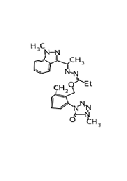 CC/C(=N/N=C(C)c1nn(C)c2ccccc12)OCc1c(C)cccc1-n1nnn(C)c1=O